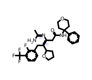 C/C(N)=N/C(CC(=O)NC1(c2ccccc2)CCOCC1)=C(\Cc1cccc(C(F)(F)F)c1F)C1CCCO1